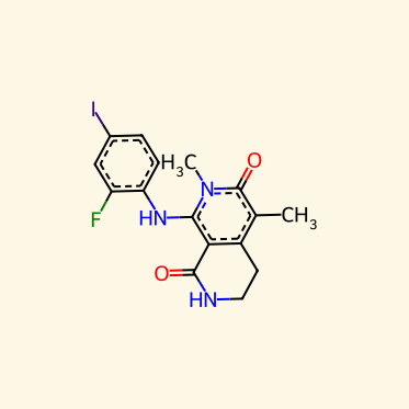 Cc1c2c(c(Nc3ccc(I)cc3F)n(C)c1=O)C(=O)NCC2